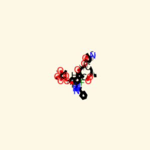 CC[C@H]1CCC[C@H](O[C@H]2CC[C@H](N(C)C)C(C)O2)[C@@H](C)C(=O)C2=C[C@@H]3C(C(F)=C(n4cc(-c5ccccc5)nn4)[C@@H]4C[C@@H](OC5OC(C)C(OC)C(OC)C5OC)C[C@@H]34)C2CC(=O)O1